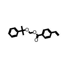 C=Cc1ccc(C(=O)OCOC(C)(C)c2ccccc2)cc1